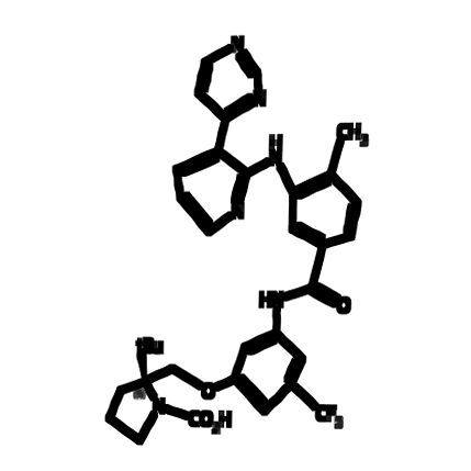 Cc1ccc(C(=O)Nc2cc(OC[C@@]3(C(C)(C)C)CCCN3C(=O)O)cc(C(F)(F)F)c2)cc1Nc1ncccc1-c1ccncn1